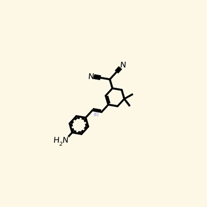 CC1(C)CC(/C=C/c2ccc(N)cc2)=CC(C(C#N)C#N)C1